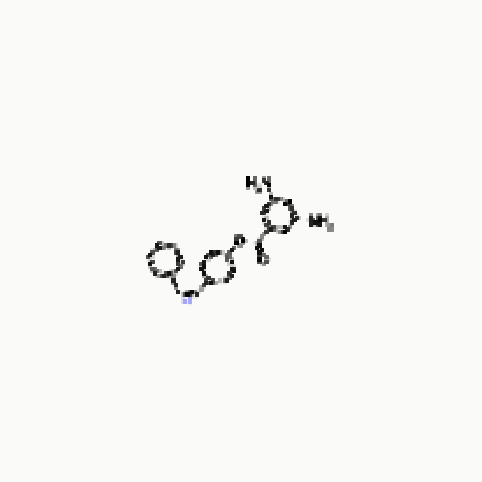 Nc1cc(N)cc(C(=O)Oc2ccc(/C=C\c3ccccc3)cc2)c1